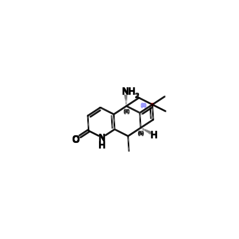 C/C=C1\[C@H]2C=C(C)C[C@]1(N)c1ccc(=O)[nH]c1C2C